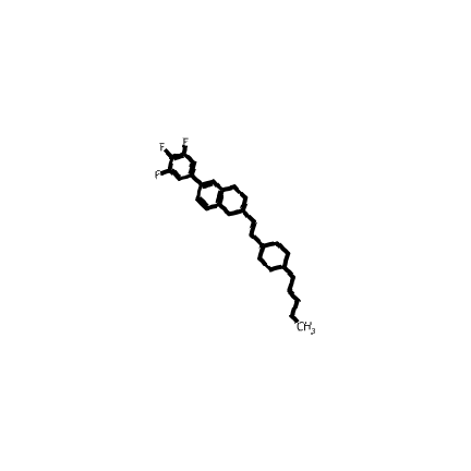 CCCCCC1CCC(CCC2CCc3cc(-c4cc(F)c(F)c(F)c4)ccc3C2)CC1